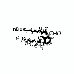 CCCCCCCCCCCCCCCCCC(C)N(C=O)c1ccccc1COC(=O)N(C)CCCN(C)C